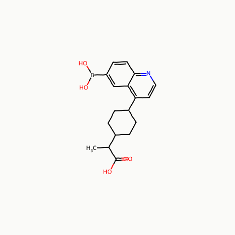 CC(C(=O)O)C1CCC(c2ccnc3ccc(B(O)O)cc23)CC1